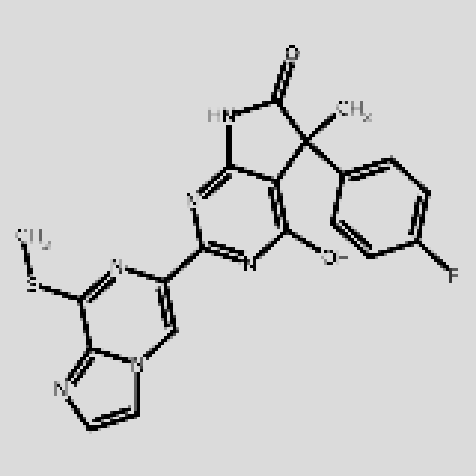 CSc1nc(-c2nc(O)c3c(n2)NC(=O)C3(C)c2ccc(F)cc2)cn2ccnc12